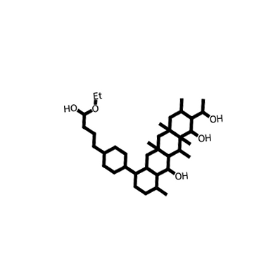 CCOC(O)CCCC1CCC(C2CCC(C)C3C(O)C4C(C)C5(C)C(O)C(C(C)O)C(C)CC5(C)CC4(C)CC23)CC1